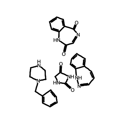 C1=Cc2ccccc2NN=C1.O=C1CNC(=O)N1.O=c1cnc(=O)c2ccccc2[nH]1.c1ccc(CN2CCNCC2)cc1